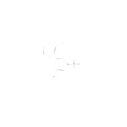 CCC(C)(C)c1cccc(C(C)(C)CC)c1.Oc1ccccc1